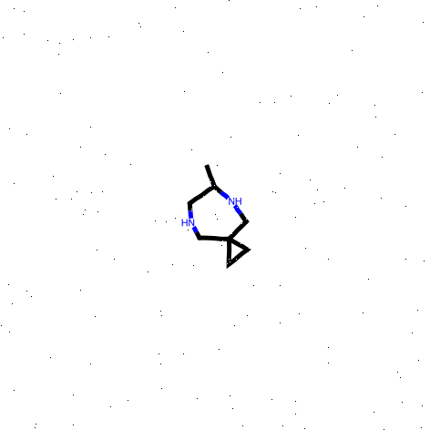 CC1CNCC2(CC2)CN1